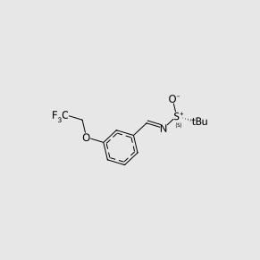 CC(C)(C)[S@@+]([O-])N=Cc1cccc(OCC(F)(F)F)c1